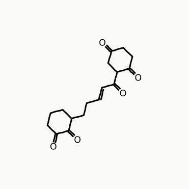 O=C1CCC(=O)C(C(=O)/C=C/CCC2CCCC(=O)C2=O)C1